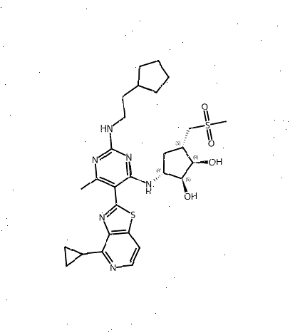 Cc1nc(NCCC2CCCC2)nc(N[C@@H]2C[C@H](CS(C)(=O)=O)[C@@H](O)[C@H]2O)c1-c1nc2c(C3CC3)nccc2s1